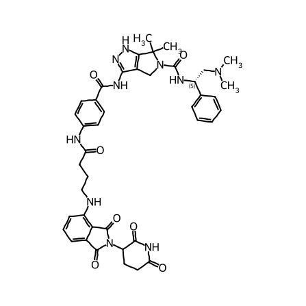 CN(C)C[C@@H](NC(=O)N1Cc2c(NC(=O)c3ccc(NC(=O)CCCNc4cccc5c4C(=O)N(C4CCC(=O)NC4=O)C5=O)cc3)n[nH]c2C1(C)C)c1ccccc1